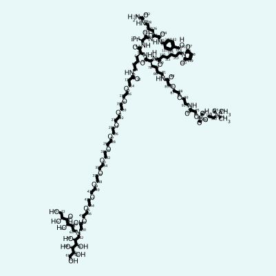 CC(C)[C@H](NC(=O)[C@H](CCCCNC(=O)CCOCCOCCOCCOCCOCCOCCOCCOCCOCCOCCOCCOCCN(C[C@H](O)[C@@H](O)[C@H](O)[C@H](O)CO)C[C@H](O)[C@@H](O)[C@H](O)[C@H](O)CO)NC(=O)[C@H](CCCCNC(=O)COCCOCCNC(=O)COP(=O)([O-])OCC[N+](C)(C)C)NC(=O)CCCCCN1C(=O)C=CC1=O)C(=O)N[C@@H](CCCNC(N)=O)C(=O)Nc1ccc(CO)cc1